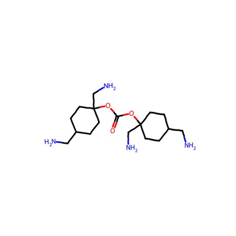 NCC1CCC(CN)(OC(=O)OC2(CN)CCC(CN)CC2)CC1